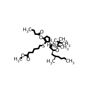 CCCC[C@@H](C)C[C@@H](/C=C/[C@H]1CCC(OC(=O)CCC)=C1SCCCCCC(=O)OC)O[Si](C)(C)C(C)(C)C